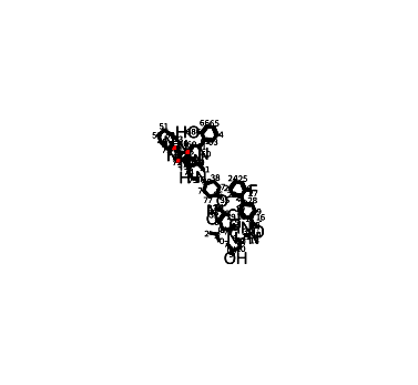 CC(C)[C@@H](C(=O)N1C[C@H](O)C[C@H]1C1=NO[C@](C)(c2ccc(-c3ccccc3F)cc2)N1)c1onc(O[C@H]2CC[C@H](N3CCC(c4cnc(N5C6CCC5CN(c5c[nH]c7nnc(-c8ccccc8O)cc57)C6)nc4)CC3)CC2)c1Cl